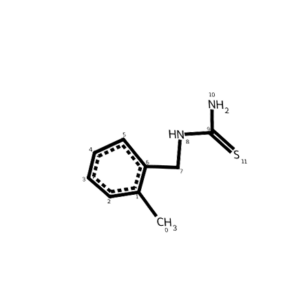 Cc1ccccc1CNC(N)=S